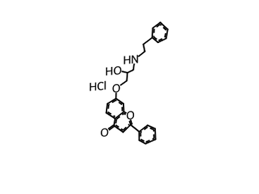 Cl.O=c1cc(-c2ccccc2)oc2cc(OCC(O)CNCCc3ccccc3)ccc12